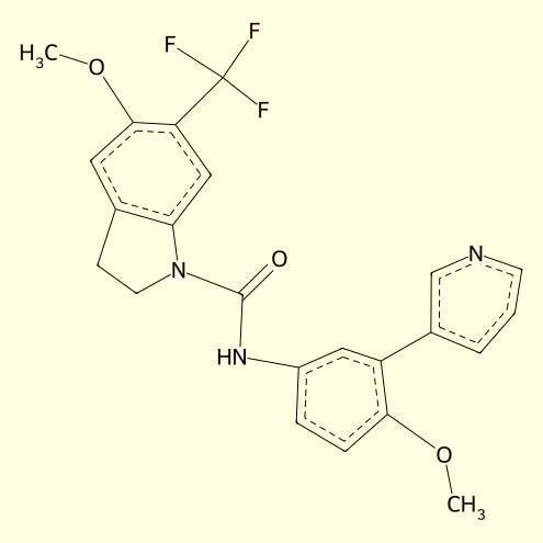 COc1ccc(NC(=O)N2CCc3cc(OC)c(C(F)(F)F)cc32)cc1-c1cccnc1